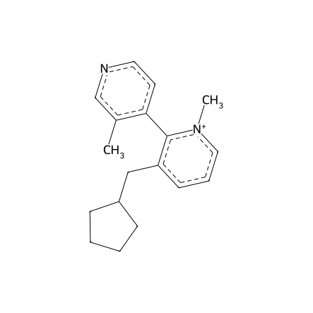 Cc1cnccc1-c1c(CC2CCCC2)ccc[n+]1C